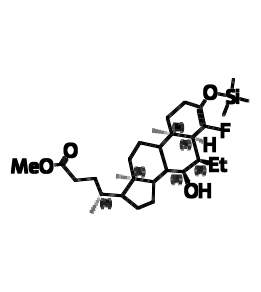 CC[C@H]1[C@@H](O)C2C3CCC([C@H](C)CCC(=O)OC)[C@@]3(C)CCC2[C@@]2(C)CCC(O[Si](C)(C)C)=C(F)[C@@H]12